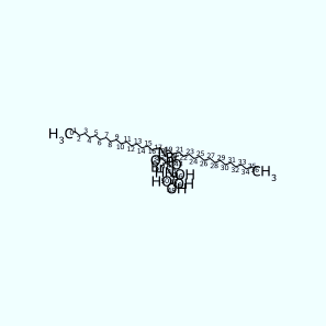 CCCCCCCCCCCCCCCCCCN(CCCCCCCCCCCCCCCCCC)C(=O)C(Br)(Br)C(=O)NC(O)C(O)(O)O